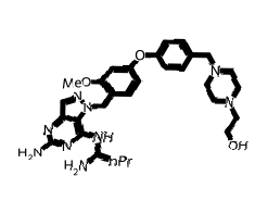 CCCC(N)Nc1nc(N)nc2cnn(Cc3ccc(Oc4ccc(CN5CCN(CCO)CC5)cc4)cc3OC)c12